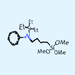 CC[Si](CC)(CC)N(CCCC[Si](OC)(OC)OC)c1ccccc1